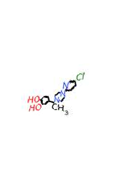 CC(c1ccc(O)c(O)c1)N1CCN(c2ccc(Cl)cn2)CC1